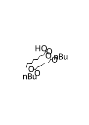 CCCCCCCC(=O)O.CCCCOC(=O)CCCCC(=O)OCCCC